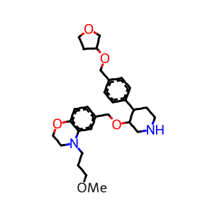 COCCCN1CCOc2ccc(COC3CNCCC3c3ccc(COC4CCOC4)cc3)cc21